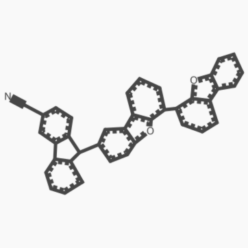 N#Cc1ccc2c(c1)-c1ccccc1C2c1ccc2oc3c(-c4cccc5c4oc4ccccc45)cccc3c2c1